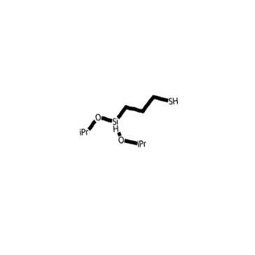 CC(C)O[SiH](CCCS)OC(C)C